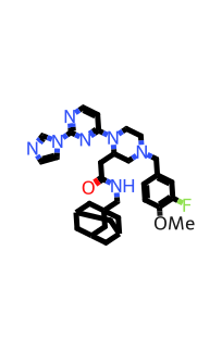 COc1ccc(CN2CCN(c3ccnc(-n4ccnc4)n3)C(CC(=O)NCC34CC5CC(CC(C5)C3)C4)C2)cc1F